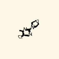 Cc1nc(N2CCOCC2)ncc1Cl